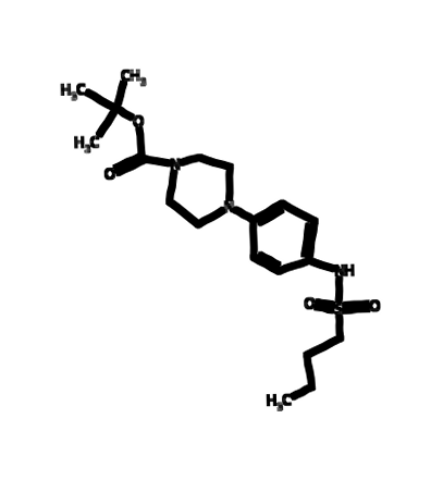 CCCCS(=O)(=O)Nc1ccc(N2CCN(C(=O)OC(C)(C)C)CC2)cc1